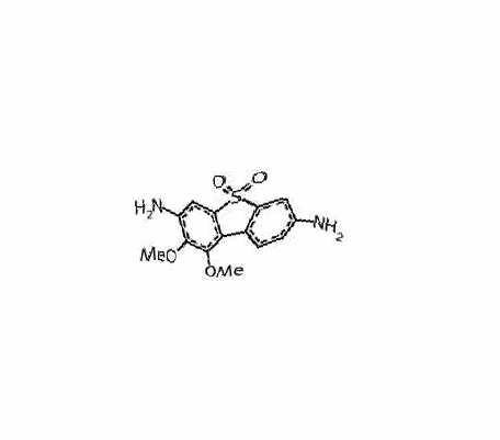 COc1c(N)cc2c(c1OC)-c1ccc(N)cc1S2(=O)=O